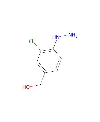 NNc1ccc(CO)cc1Cl